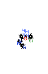 Cc1ccc(Cl)cc1NC(=O)Nc1cccc(Cn2ccnc2-c2ccncc2)c1